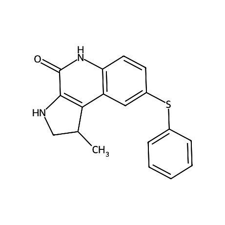 CC1CNc2c1c1cc(Sc3ccccc3)ccc1[nH]c2=O